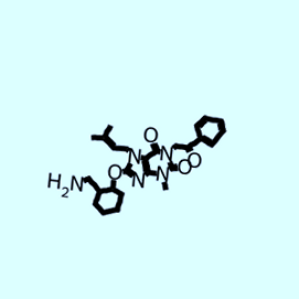 CC(C)=CCn1c(OC2CCCCC2CN)nc2c1c(=O)n(CC(=O)c1ccccc1)c(=O)n2C